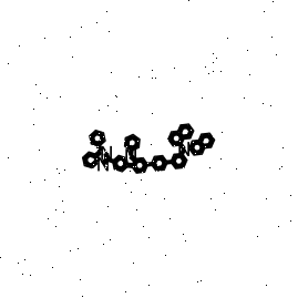 c1ccc(-c2nc(-c3ccc4c5ccc(-c6ccc(-c7cccc(N(c8ccc9ccccc9c8)c8cccc9ccccc89)c7)cc6)cc5n(-c5ccccc5)c4c3)nc3ccccc23)cc1